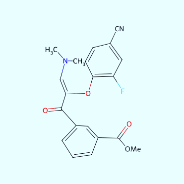 COC(=O)c1cccc(C(=O)/C(=C/N(C)C)Oc2ccc(C#N)cc2F)c1